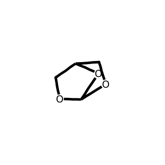 C1OC2OCC1O2